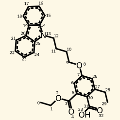 CCOC(=O)c1cc(OCCCCn2c3ccccc3c3ccccc32)cc(CC)c1C(=O)O